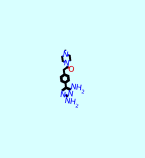 CN1CCN(C(=O)Cc2ccc(-c3cnc(N)nc3N)cc2)CC1